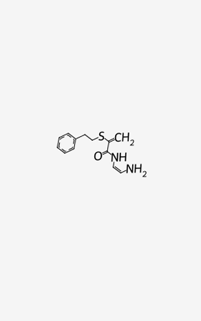 C=C(SCCc1ccccc1)C(=O)N/C=C\N